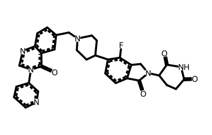 O=C1CCC(N2Cc3c(ccc(C4CCN(Cc5ccc6ncn(-c7cccnc7)c(=O)c6c5)CC4)c3F)C2=O)C(=O)N1